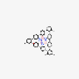 Cc1cc(C)c(-c2ccc3c(c2)N2B(c4ccccc4-3)N3B(c4ccccc4-c4ccc(-c5c(C)cc(C)cc5C)cc43)N3B2c2ccccc2-c2ccc(-c4c(C)cc(C)cc4C)cc23)c(C)c1